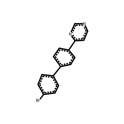 Brc1ccc(-c2ccc(-c3ccncn3)cc2)cc1